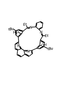 CCc1nc2ccccc2nc(CC)c2cc(C(C)(C)C)cc(c2O)c2ccc3ccc4ccc(nc4c3n2)c2cc(C(C)(C)C)cc1c2O